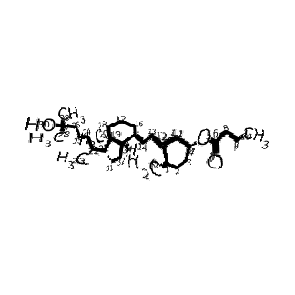 C=C1CC[C@H](OC(=O)CCC)C/C1=C/C=C1\CCC[C@]2(C)[C@@H]([C@H](C)CCCC(C)(C)O)CC[C@@H]12